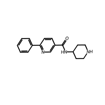 O=C(NC1CCNCC1)c1ccc(-c2ccccc2)nc1